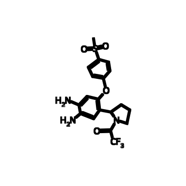 CS(=O)(=O)c1ccc(Oc2cc(N)c(N)cc2C2CCCN2C(=O)C(F)(F)F)cc1